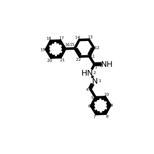 N=C(NN=Cc1ccccc1)C1=CCCC(c2ccccc2)=C1